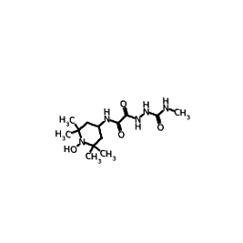 CNC(=O)NNC(=O)C(=O)NC1CC(C)(C)N(O)C(C)(C)C1